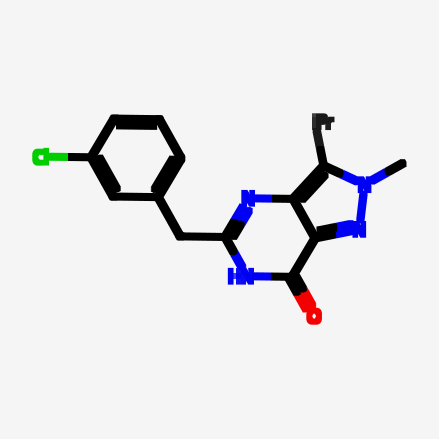 CC(C)c1c2nc(Cc3cccc(Cl)c3)[nH]c(=O)c2nn1C